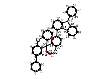 c1ccc(-c2ccc3c(c2)C2(c4ccccc4O3)c3ccccc3Oc3ccc(-c4cccc5c4-c4ccccc4C5c4ccccc4)cc32)cc1